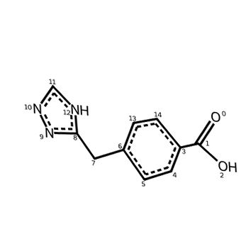 O=C(O)c1ccc(Cc2nnc[nH]2)cc1